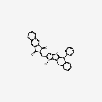 CCn1c(C=C2C(=O)c3cc4ccccc4cc3C2=O)cc2oc3c(c21)Cc1ccccc1N3c1ccccc1